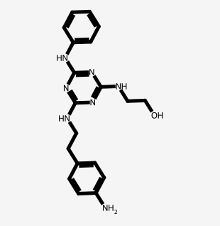 Nc1ccc(CCNc2nc(NCCO)nc(Nc3ccccc3)n2)cc1